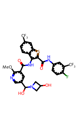 COc1ncc(C(O)N2CC(O)C2)cc1C(=O)Nc1c(C(=O)Nc2ccc(F)c(C(F)(F)F)c2)sc2cc(C(F)(F)F)ccc12